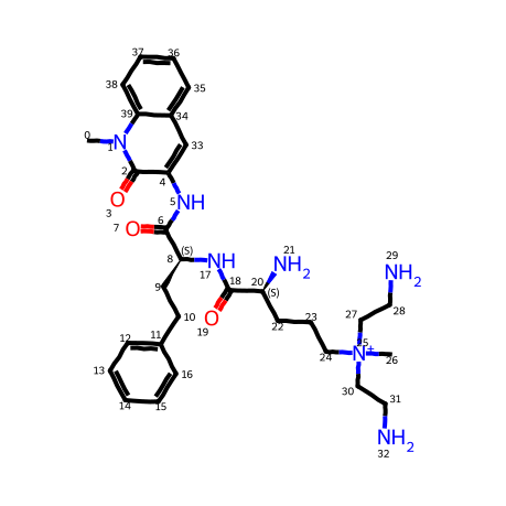 Cn1c(=O)c(NC(=O)[C@H](CCc2ccccc2)NC(=O)[C@@H](N)CCC[N+](C)(CCN)CCN)cc2ccccc21